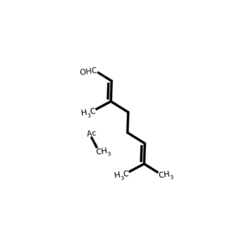 CC(C)=CCC/C(C)=C/C=O.CC(C)=O